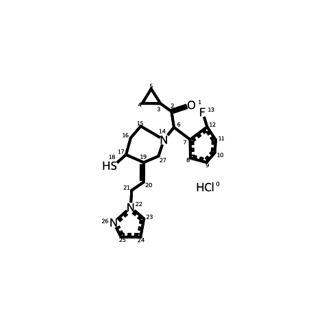 Cl.O=C(C1CC1)C(c1ccccc1F)N1CCC(S)/C(=C\Cn2cccn2)C1